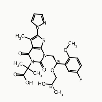 COc1ccc(F)cc1[C@H](Cn1c(=O)n(C(C)(C)C(=O)O)c(=O)c2c(C)c(-n3cccn3)sc21)OC[C@H](C)O